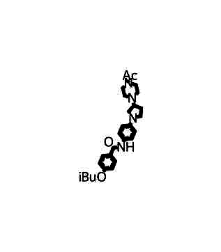 CC(=O)N1CCN(C2CCN(c3ccc(NC(=O)c4ccc(OCC(C)C)cc4)cc3)C2)CC1